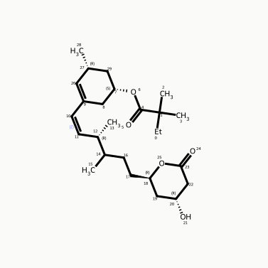 CCC(C)(C)C(=O)O[C@@H]1CC(/C=C\[C@H](C)C(C)CC[C@@H]2C[C@@H](O)CC(=O)O2)=C[C@H](C)C1